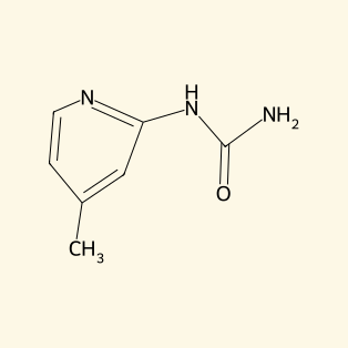 Cc1ccnc(NC(N)=O)c1